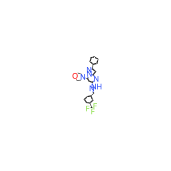 FC(F)(F)c1cccc(/C=N/Nc2cc(N3CCOCC3)n3nc(-c4ccccc4)cc3n2)c1